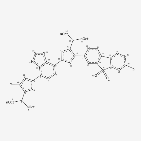 CCCCCCCCC(CCCCCCCC)c1cc(-c2ccc(-c3cc(C(CCCCCCCC)CCCCCCCC)c(-c4cc5c(cn4)-c4cnc(C)cc4S5(=O)=O)s3)c3nsnc23)sc1C